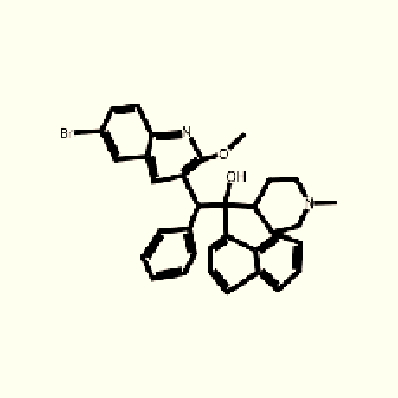 COc1nc2ccc(Br)cc2cc1C(c1ccccc1)C(O)(c1cccc2ccccc12)C1CCN(C)CC1